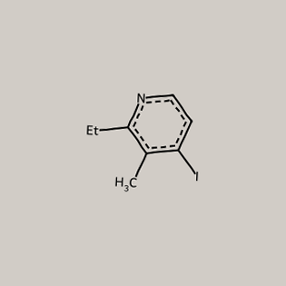 CCc1nccc(I)c1C